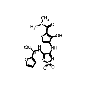 CN(C)C(=O)c1scc(NC2=NS(=O)(=O)N=C2N[C@@H](c2ccco2)C(C)(C)C)c1O